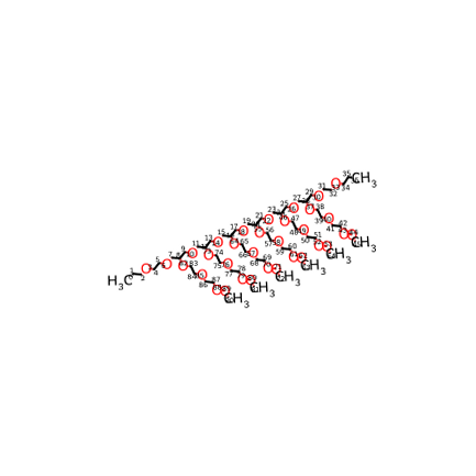 CCCOCCOCC(COCC(COCC(COCC(COCC(COCC(COCCOCCC)OCCOCCOOC)OCCOCCOOC)OCCOCCOOC)OCCOCCOOC)OCCOCCOOC)OCCOCCOOC